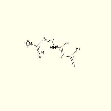 C=C(F)/C=C(\C)N/C=C\C(=N)N